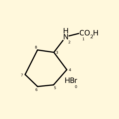 Br.O=C(O)NC1CCCCC1